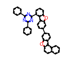 c1ccc(-c2nc(-c3ccccc3)nc(-c3cccc4oc5cc(-c6ccc7c(c6)oc6ccc8ccccc8c67)ccc5c34)n2)cc1